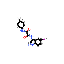 O=C(Nc1ccc(C(F)(F)F)cc1)C(=O)Nc1c[nH]c2ccc(I)cc12